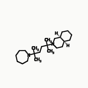 CC(C)(CCC(C)(C)N1CC[C@@H]2CCCC[C@@H]2C1)N1CCCCCC1